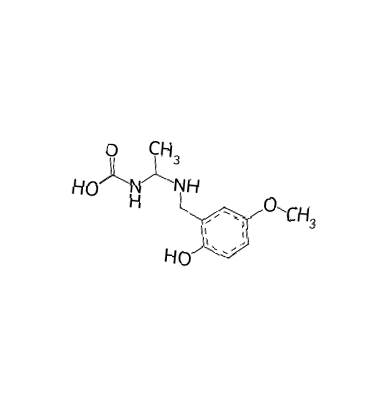 COc1ccc(O)c(CNC(C)NC(=O)O)c1